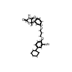 CCCc1cc(C2CCCCC2)ccc1OCCCOc1cccc(C2(C)OC(=O)NC2=O)c1